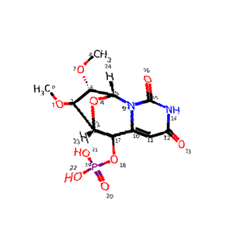 COC1[C@@H]2O[C@H]([C@H]1OC)n1c(cc(=O)[nH]c1=O)C2OP(=O)(O)O